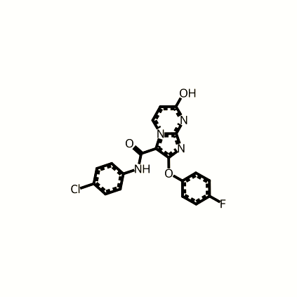 O=C(Nc1ccc(Cl)cc1)c1c(Oc2ccc(F)cc2)nc2nc(O)ccn12